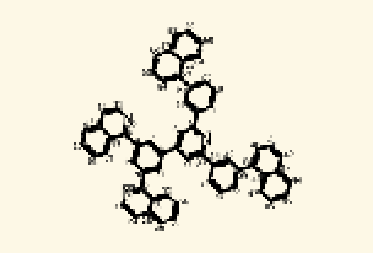 c1cc(-c2cc(-c3cc(-c4nccc5ccccc45)cc(-c4nccc5ccccc45)c3)cc(-c3cccc(-c4cccc5ccccc45)c3)n2)cc(-c2cccc3ccccc23)c1